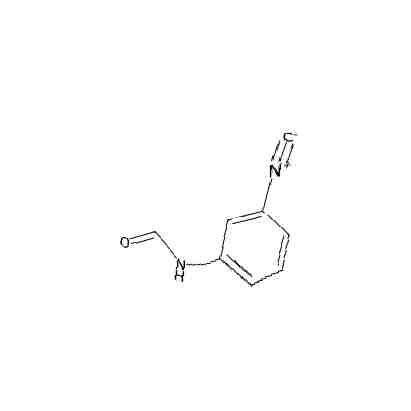 [C-]#[N+]c1cccc(NC=O)c1